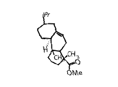 COC(=O)[C@]1(C)CCC[C@@]2(C)C1CC=C1CC(C(C)C)CC[C@@H]12